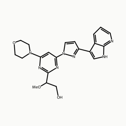 COC(CO)c1nc(N2CCOCC2)cc(-n2ccc(-c3c[nH]c4ncccc34)n2)n1